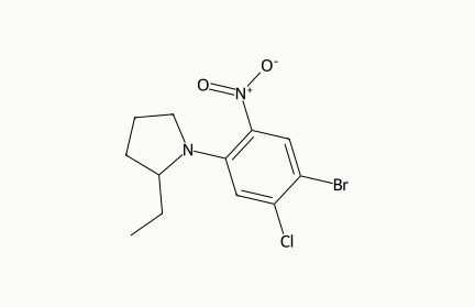 CCC1CCCN1c1cc(Cl)c(Br)cc1[N+](=O)[O-]